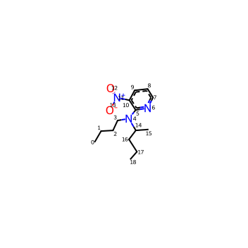 CCCCN(c1ncccc1[N+](=O)[O-])C(C)CCC